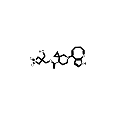 C=C(OCC1(CO)CS(=O)(=O)C1)[C@@H]1CCN(/C2=C/CC/C=N\c3[nH]ccc32)CC12CC2